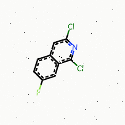 Fc1ccc2cc(Cl)nc(Cl)c2c1